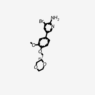 COc1cc(-c2cnc(N)c(Br)c2)ccc1OC[C@H]1COCCO1